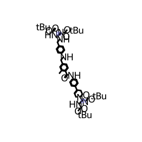 Cc1cc(CNc2ccc(CN/C(=N\C(=O)OC(C)(C)C)NC(=O)OC(C)(C)C)cc2)ccc1C(=O)Nc1ccc(C2=CCN(/C(=N\C(=O)OC(C)(C)C)NC(=O)OC(C)(C)C)CC2)cc1